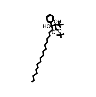 CCCCCCCCCCCCCCCCCCC(O)(c1ccccc1)C(O)(C(=O)OC(C)(C)C)C(C)(C)C